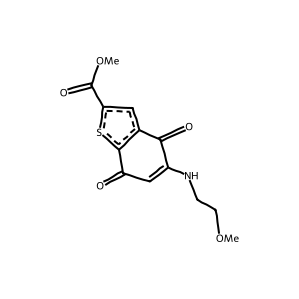 COCCNC1=CC(=O)c2sc(C(=O)OC)cc2C1=O